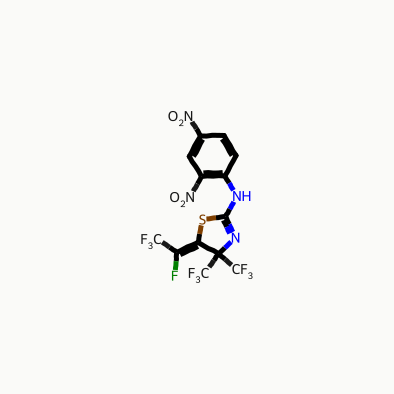 O=[N+]([O-])c1ccc(NC2=NC(C(F)(F)F)(C(F)(F)F)C(=C(F)C(F)(F)F)S2)c([N+](=O)[O-])c1